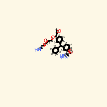 C(OCC1CO1)C1CO1.N=C=O.N=C=O.N=C=O.c1ccc(C(c2ccccc2)c2ccccc2)cc1